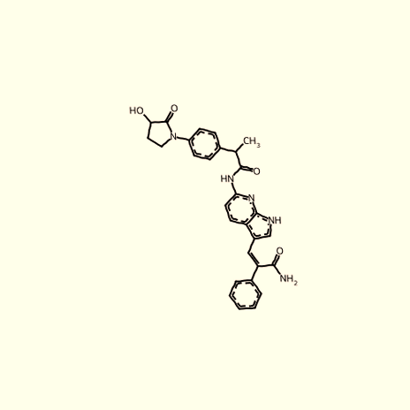 CC(C(=O)Nc1ccc2c(C=C(C(N)=O)c3ccccc3)c[nH]c2n1)c1ccc(N2CCC(O)C2=O)cc1